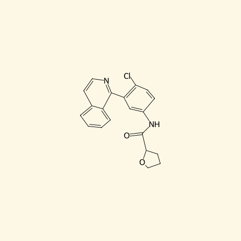 O=C(Nc1ccc(Cl)c(-c2nccc3ccccc23)c1)C1CCCO1